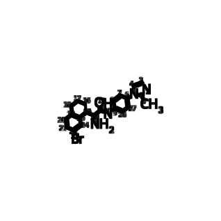 Cc1nccn1-c1ccc(NC(=O)[C@@H](N)[C@@H]2CCCc3ccc(Br)cc32)cc1